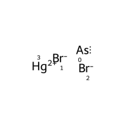 [As].[Br-].[Br-].[Hg+2]